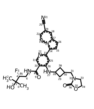 CC(C)(O)[C@H](F)CNC(=O)c1cnc(-c2ccc3cc(C#N)cnn23)cc1NC1CC(CN2CCOC2=O)C1